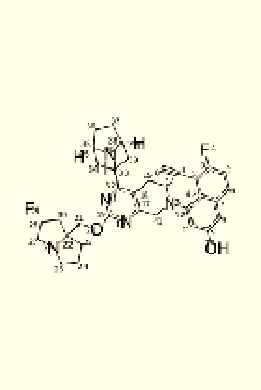 C#Cc1c(F)ccc2cc(O)cc(N3CCc4c(nc(OC[C@@]56CCCN5C[C@H](F)C6)nc4[C@H]4C[C@H]5CC[C@@H](C4)N5)C3)c12